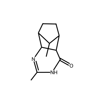 CC1=NC2C3CCC(C3C)C2C(=O)N1